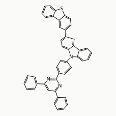 c1ccc(-c2cc(-c3ccccc3)nc(-c3ccc(-n4c5ccccc5c5cc(-c6ccc7sc8ccccc8c7c6)ccc54)cc3)n2)cc1